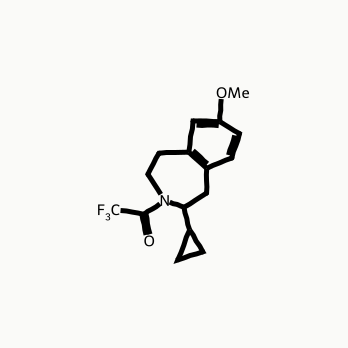 COc1ccc2c(c1)CCN(C(=O)C(F)(F)F)C(C1CC1)C2